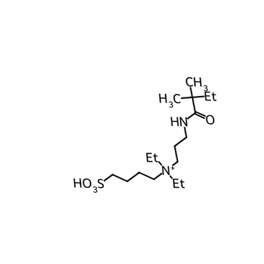 CCC(C)(C)C(=O)NCCC[N+](CC)(CC)CCCCS(=O)(=O)O